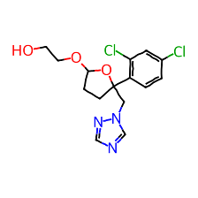 OCCOC1CCC(Cn2cncn2)(c2ccc(Cl)cc2Cl)O1